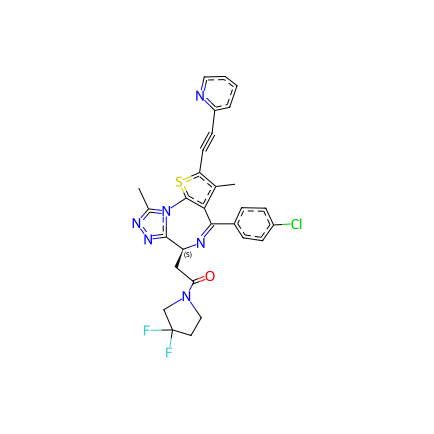 Cc1c(C#Cc2ccccn2)sc2c1C(c1ccc(Cl)cc1)=N[C@@H](CC(=O)N1CCC(F)(F)C1)c1nnc(C)n1-2